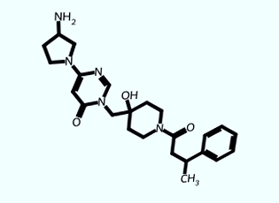 CC(CC(=O)N1CCC(O)(Cn2cnc(N3CCC(N)C3)cc2=O)CC1)c1ccccc1